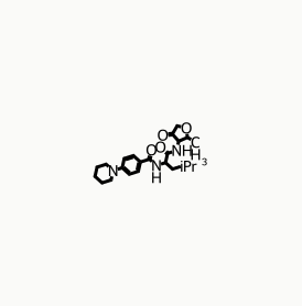 CC(C)CC(NC(=O)c1ccc(N2CCCCC2)cc1)C(=O)NC1C(=O)COC1C